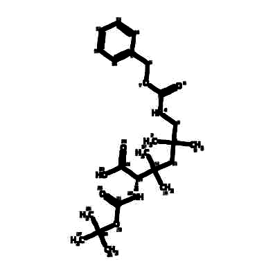 CC(C)(CNC(=O)OCc1ccccc1)CC(C)(C)[C@H](NC(=O)OC(C)(C)C)C(=O)O